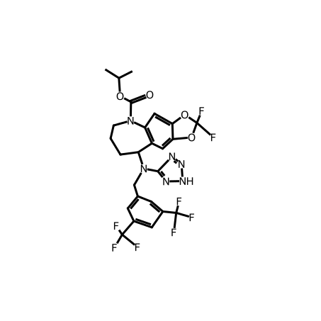 CC(C)OC(=O)N1CCCC(N(Cc2cc(C(F)(F)F)cc(C(F)(F)F)c2)c2nn[nH]n2)c2cc3c(cc21)OC(F)(F)O3